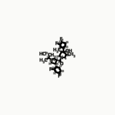 CC(C)N1C[C@@H](C(=O)N2C[C@@H](C)[C@@](O)(c3ccc(F)c(F)c3)[C@@H](C)C2)[C@H](c2ccc(F)cc2F)C1.Cl